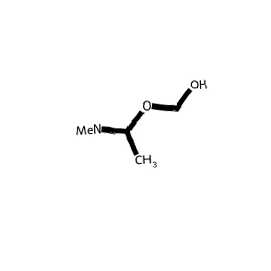 CNC(C)OCO